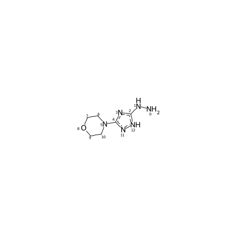 NNc1nc(N2CCOCC2)n[nH]1